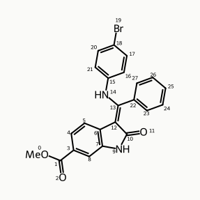 COC(=O)c1ccc2c(c1)NC(=O)C2=C(Nc1ccc(Br)cc1)c1ccccc1